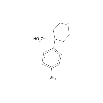 Bc1ccc(C2(C(=O)O)CCOCC2)cc1